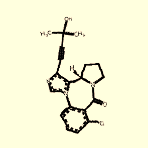 CC(C)(O)C#Cc1ncn2c1[C@@H]1CCCN1C(=O)c1c(Cl)cccc1-2